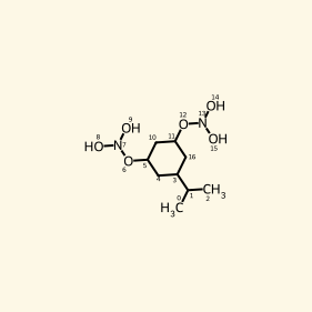 CC(C)C1CC(ON(O)O)CC(ON(O)O)C1